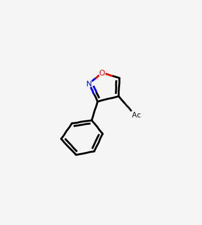 CC(=O)c1conc1-c1ccccc1